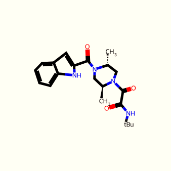 C[C@@H]1CN(C(=O)C(=O)NC(C)(C)C)[C@@H](C)CN1C(=O)c1cc2ccccc2[nH]1